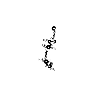 C=C1C[C@H]2C(=O)Nc3cc(OCCCCCOc4cc(N)c(C(=O)N5CC(=C)C[C@H]5C5OCCN5C(=O)OCCSSc5ccccn5)cc4OC)c(OC)cc3C(=O)N2C1